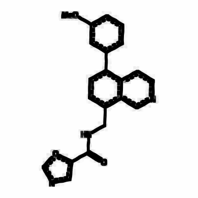 COc1cccc(-c2ccc(CNC(=O)c3cnco3)c3cnccc23)c1